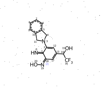 N=C1C(N2Cc3ccccc3C2)=CC(C(O)C(F)(F)F)=C/C1=N/O